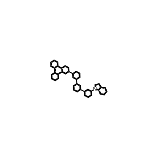 c1cc(-c2cccc(-c3ccc4c5ccccc5c5ccccc5c4c3)c2)cc(-c2cccc(-n3ccc4ccccc43)c2)c1